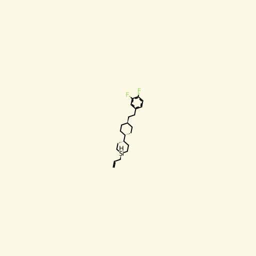 C=CC[Si@H]1CC[C@H]([C@H]2CC[C@H](CCc3ccc(F)c(F)c3)CC2)CC1